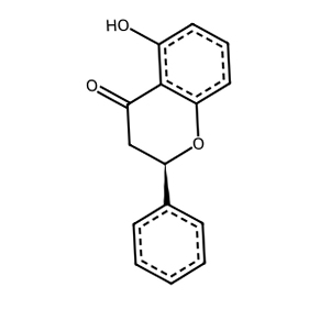 O=C1C[C@H](c2ccccc2)Oc2cccc(O)c21